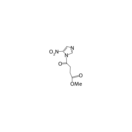 COC(=O)CCC(=O)n1cncc1[N+](=O)[O-]